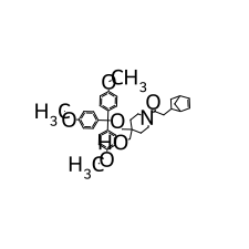 COc1ccc(C(OCC2(CO)CCN(C(=O)CC3CC4C=CC3C4)CC2)(c2ccc(OC)cc2)c2ccc(OC)cc2)cc1